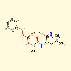 CC(C)CC(NC(=O)C(C)OC(=O)OCc1ccccc1)C(N)=O